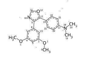 COc1cc(OC)cc(-c2ncoc2-c2ccc(N(C)C)cc2)c1